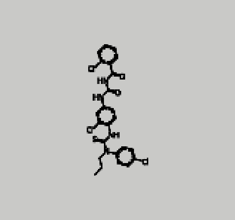 CCCN(C(=S)Nc1ccc(NC(=O)NC(=O)c2ccccc2Cl)cc1Cl)c1ccc(Cl)cc1